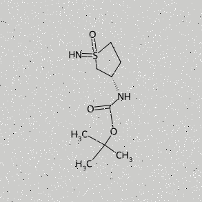 CC(C)(C)OC(=O)N[C@H]1CCS(=N)(=O)C1